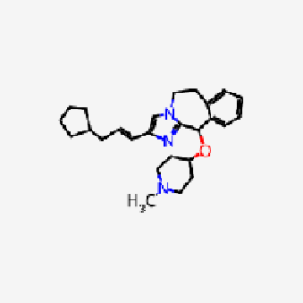 CN1CCC(OC2c3ccccc3CCn3cc(/C=C/CC4CCCC4)nc32)CC1